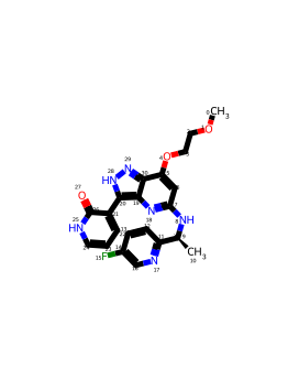 COCCOc1cc(N[C@@H](C)c2ccc(F)cn2)nc2c(-c3ccc[nH]c3=O)[nH]nc12